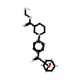 CCOC(=O)C1CCCN(c2ccc(C(=O)N3CC4CCC(CC4)C3)cc2)C1